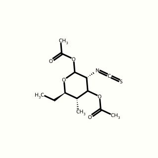 CC[C@H]1OC(OC(C)=O)[C@H](N=C=S)C(OC(C)=O)[C@@H]1C